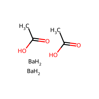 CC(=O)O.CC(=O)O.[BaH2].[BaH2]